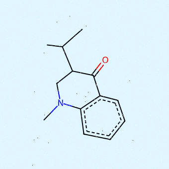 CC(C)C1CN(C)c2ccccc2C1=O